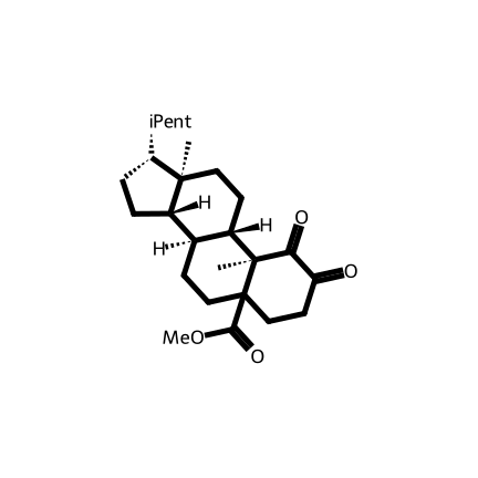 CCC[C@@H](C)[C@H]1CC[C@H]2[C@@H]3CCC4(C(=O)OC)CCC(=O)C(=O)[C@]4(C)[C@H]3CC[C@]12C